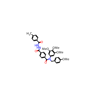 COc1ccc(CN(C(=O)c2ccc(C(=O)NNC(=O)c3ccc(C)cc3)cc2)c2cc(OC)c(OC)c(OC)c2)cc1